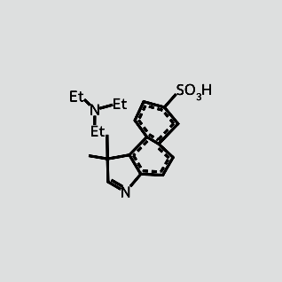 CC1(C)C=Nc2ccc3cc(S(=O)(=O)O)ccc3c21.CCN(CC)CC